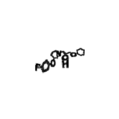 OC(COC1CCCCC1)CN1CCCC(Oc2ccc(F)cc2)C1